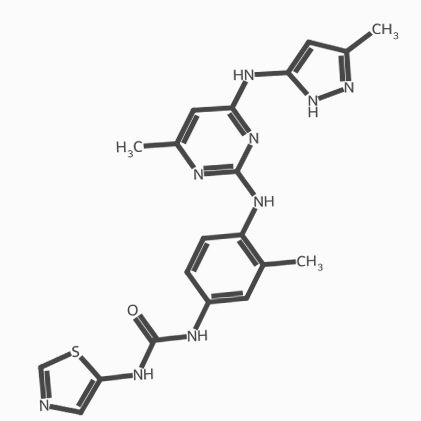 Cc1cc(Nc2cc(C)nc(Nc3ccc(NC(=O)Nc4cncs4)cc3C)n2)[nH]n1